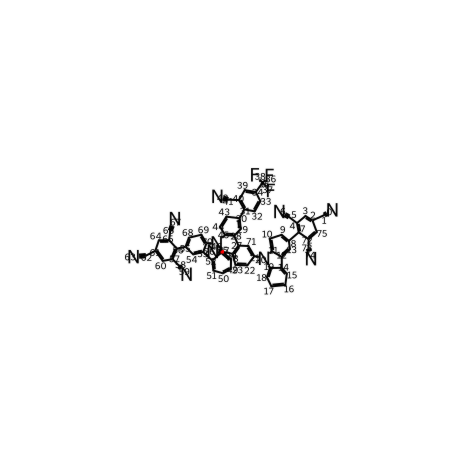 N#Cc1cc(C#N)c(-c2ccc3c(c2)c2ccccc2n3-c2ccc(C#N)c(-c3cc(-c4ccc(C(F)(F)F)cc4C#N)ccc3-n3c4ccccc4c4cc(-c5c(C#N)cc(C#N)cc5C#N)ccc43)c2)c(C#N)c1